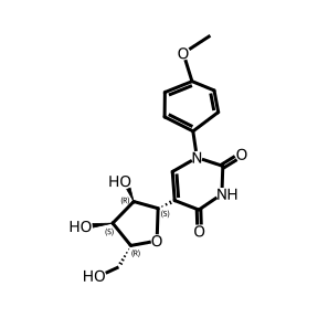 COc1ccc(-n2cc([C@@H]3O[C@H](CO)[C@@H](O)[C@H]3O)c(=O)[nH]c2=O)cc1